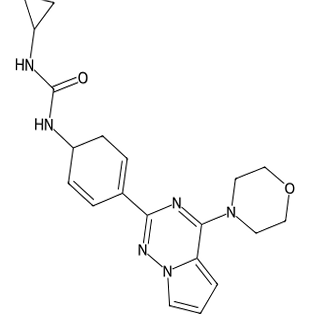 O=C(NC1C=CC(c2nc(N3CCOCC3)c3cccn3n2)=CC1)NC1CC1